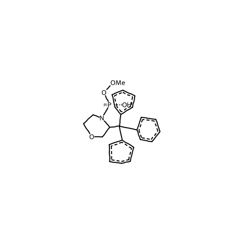 COO[P@](O)N1CCOCC1C(c1ccccc1)(c1ccccc1)c1ccccc1